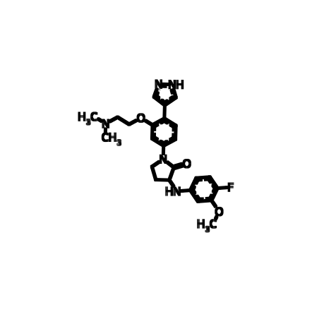 COc1cc(NC2CCN(c3ccc(-c4cn[nH]c4)c(OCCN(C)C)c3)C2=O)ccc1F